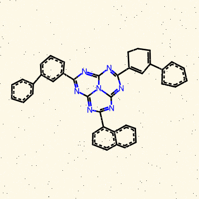 C1=C(C2=NC3=NC(c4cccc(-c5ccccc5)c4)=NC4=NC(c5cccc6ccccc56)=NC(=N2)N34)CCC=C1c1ccccc1